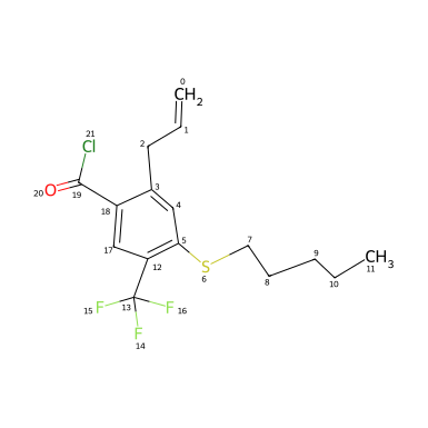 C=CCc1cc(SCCCCC)c(C(F)(F)F)cc1C(=O)Cl